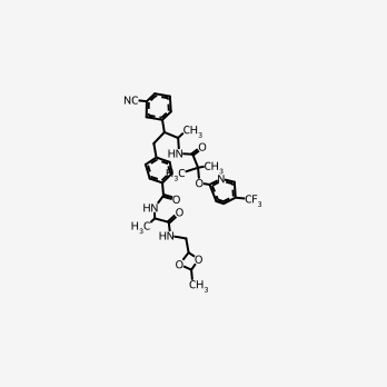 CC1OC(CNC(=O)C(C)NC(=O)c2ccc(CC(c3cccc(C#N)c3)C(C)NC(=O)C(C)(C)Oc3ccc(C(F)(F)F)cn3)cc2)O1